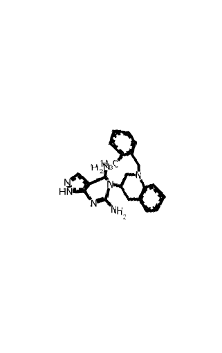 Cc1ccccc1CN1CC(N2C(N)=Nc3[nH]ncc3C2N)Cc2ccccc21